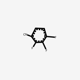 [C-]#[N+]c1ccc(F)c(F)c1F